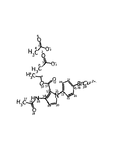 CC(=O)[O-].CC(=O)[O-].CCOC(=O)c1c(NC(C)=O)ccn1-c1ccc(Br)cc1.[Cu+2]